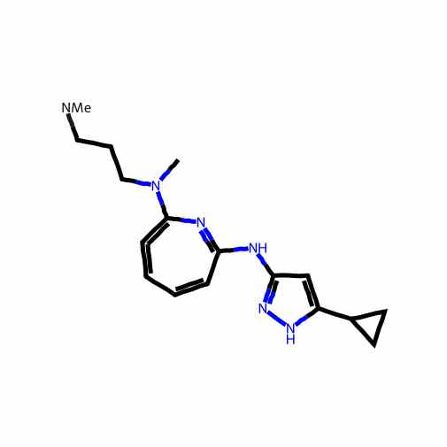 CNCCCN(C)C1=C=CC=CC(Nc2cc(C3CC3)[nH]n2)=N1